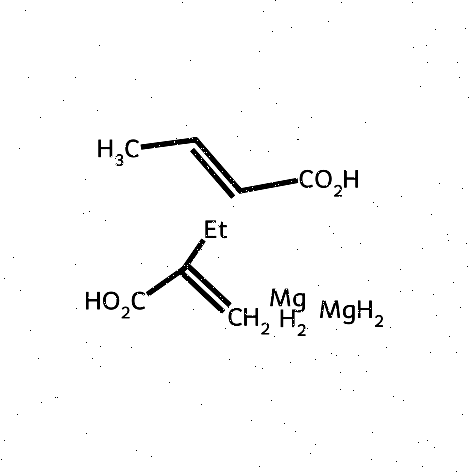 C=C(CC)C(=O)O.CC=CC(=O)O.[MgH2].[MgH2]